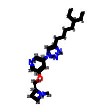 CCC(CC)CCCCc1cn(-c2cncc(OC[C@@H]3CCN3C)c2)nn1